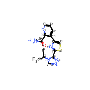 CC(n1cnnc1-c1nc(-c2cccnc2C(N)=O)cs1)C(F)(F)F